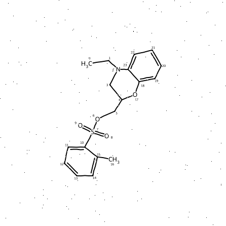 CCN1CC(COS(=O)(=O)c2ccccc2C)Oc2ccccc21